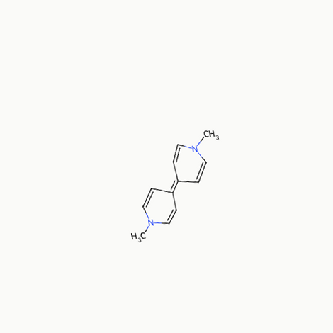 CN1C=CC(=C2C=CN(C)C=C2)C=C1